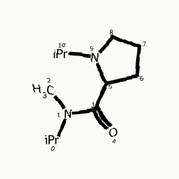 CC(C)N(C)C(=O)C1CCCN1C(C)C